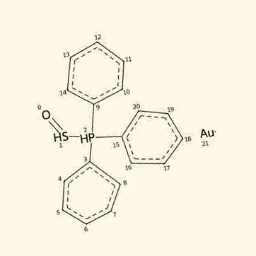 O=[SH][PH](c1ccccc1)(c1ccccc1)c1ccccc1.[Au]